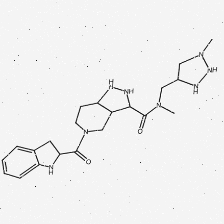 CN1CC(CN(C)C(=O)C2NNC3CCN(C(=O)C4Cc5ccccc5N4)CC32)NN1